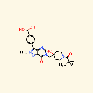 Cn1nc2c(=O)n(CC3(O)CCN(C(=O)C4(C)CC4)CC3)cnc2c1-c1ccc(C(O)O)cc1